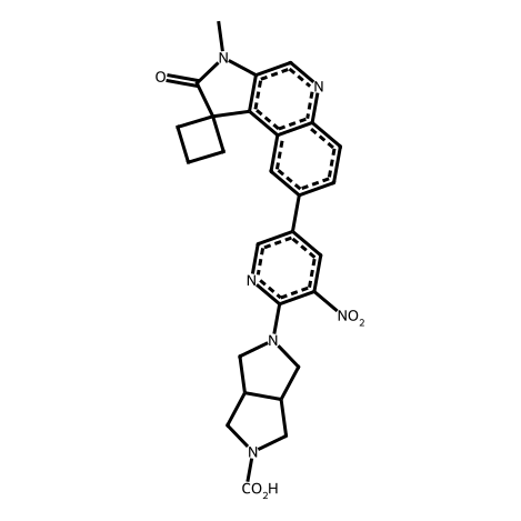 CN1C(=O)C2(CCC2)c2c1cnc1ccc(-c3cnc(N4CC5CN(C(=O)O)CC5C4)c([N+](=O)[O-])c3)cc21